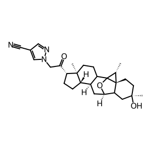 C[C@H]1C23O[C@H](C[C@@H]4C2CC[C@]2(C)[C@@H](C(=O)Cn5cc(C#N)cn5)CC[C@@H]42)C2C[C@](C)(O)CC[C@]213